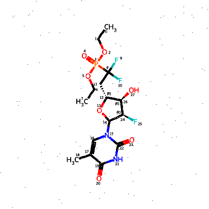 CCOP(=O)(OCC)C(F)(F)C[C@H]1OC(n2cc(C)c(=O)[nH]c2=O)[C@H](F)[C@@H]1O